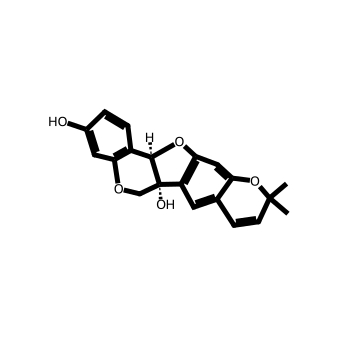 CC1(C)C=Cc2cc3c(cc2O1)O[C@@H]1c2ccc(O)cc2OC[C@]31O